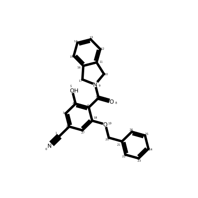 N#Cc1cc(O)c(C(=O)N2Cc3ccccc3C2)c(OCc2ccccc2)c1